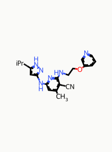 Cc1cc(Nc2cc(C(C)C)[nH]n2)nc(NCCOc2cccnc2)c1C#N